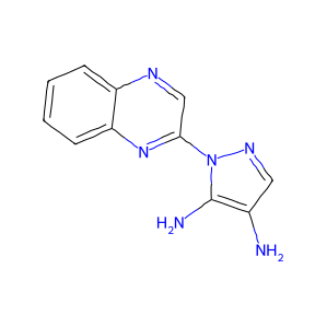 Nc1cnn(-c2cnc3ccccc3n2)c1N